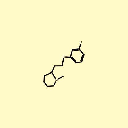 CN1CCCCC1CCOc1cccc(F)c1